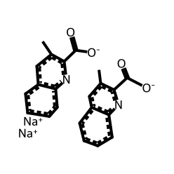 Cc1cc2ccccc2nc1C(=O)[O-].Cc1cc2ccccc2nc1C(=O)[O-].[Na+].[Na+]